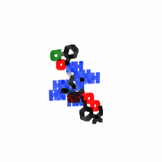 C#C[C@@]1(C)[C@@H](NC(=O)c2cccc3c2OCCC3(C)C)CN2C(=N)N[C@@H](CNC(=O)c3ccccc3Cl)C3NC(=N)N(O)C321